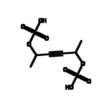 CC(C#CC(C)OS(=O)(=O)O)OS(=O)(=O)O